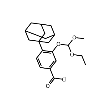 CCOC(OC)Oc1cc(C(=O)Cl)ccc1C12CC3CC(CC(C3)C1)C2